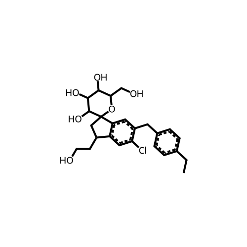 CCc1ccc(Cc2cc3c(cc2Cl)C(CCO)CC32OC(CO)C(O)C(O)C2O)cc1